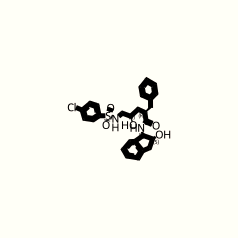 O=C(N[C@@H]1c2ccccc2C[C@@H]1O)[C@H](Cc1ccccc1)C[C@H](O)CNS(=O)(=O)c1ccc(Cl)cc1